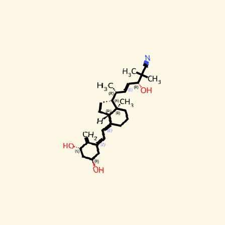 C=C1/C(=C\C=C2/CCC[C@]3(C)[C@@H]([C@H](C)/C=C/[C@@H](O)C(C)(C)C#N)CC[C@@H]23)C[C@@H](O)C[C@@H]1O